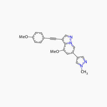 COc1ccc(C#Cc2cnn3cc(-c4cnn(C)c4)cc(OC)c23)cc1